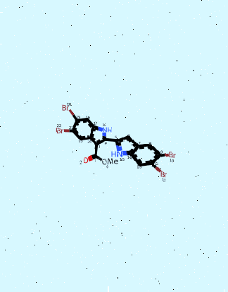 COC(=O)c1c(-c2cc3cc(Br)c(Br)cc3[nH]2)[nH]c2cc(Br)c(Br)cc12